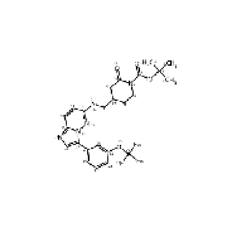 CC(C)(C)OC(=O)N1CCC(CNc2ccc3ncc(-c4cccc(OC(F)(F)F)c4)n3n2)CC1=O